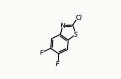 Fc1cc2nc(Cl)sc2cc1F